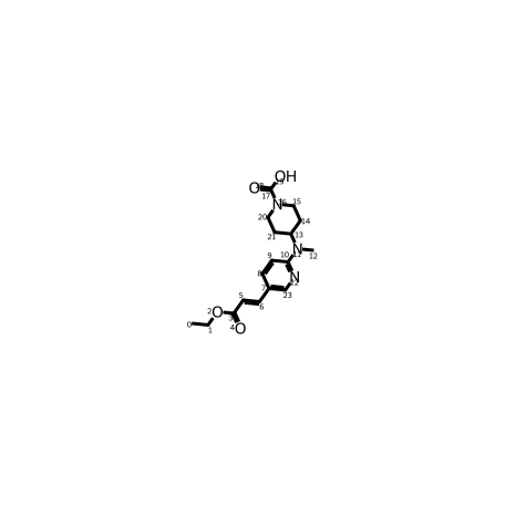 CCOC(=O)C=Cc1ccc(N(C)C2CCN(C(=O)O)CC2)nc1